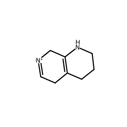 C1=[N+]CC2=C(C1)CCCN2